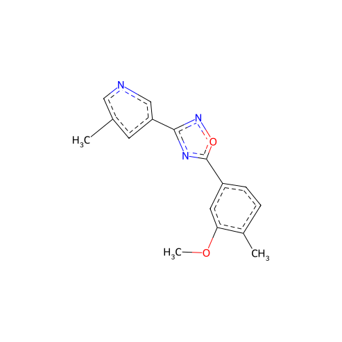 COc1cc(-c2nc(-c3cncc(C)c3)no2)ccc1C